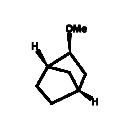 CO[C@H]1C[C@@H]2CC[C@H]1C2